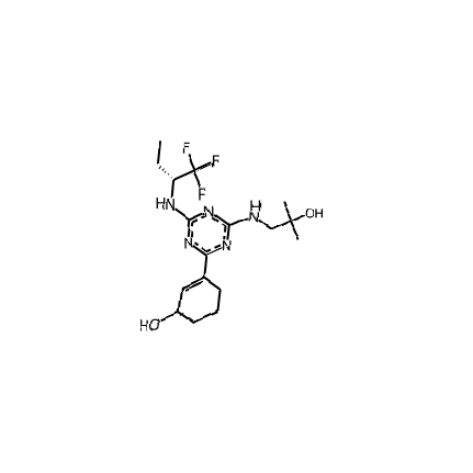 CC[C@@H](Nc1nc(NCC(C)(C)O)nc(C2=CC(O)CCC2)n1)C(F)(F)F